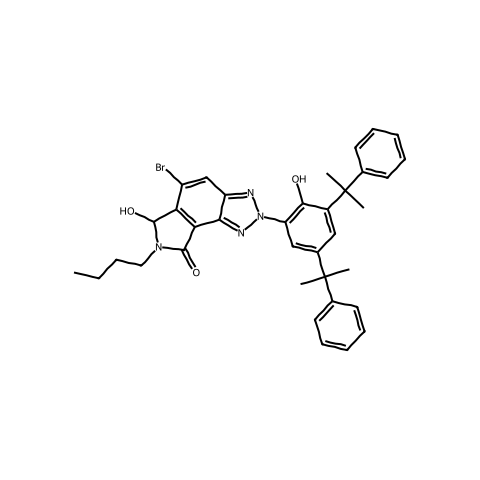 CCCCN1C(=O)c2c(c(Br)cc3nn(-c4cc(C(C)(C)c5ccccc5)cc(C(C)(C)c5ccccc5)c4O)nc23)C1O